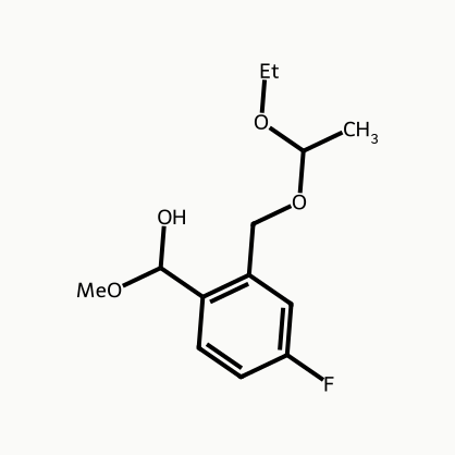 CCOC(C)OCc1cc(F)ccc1C(O)OC